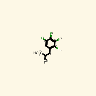 N#CC(Cc1cc(F)c(F)c(F)c1F)C(=O)O